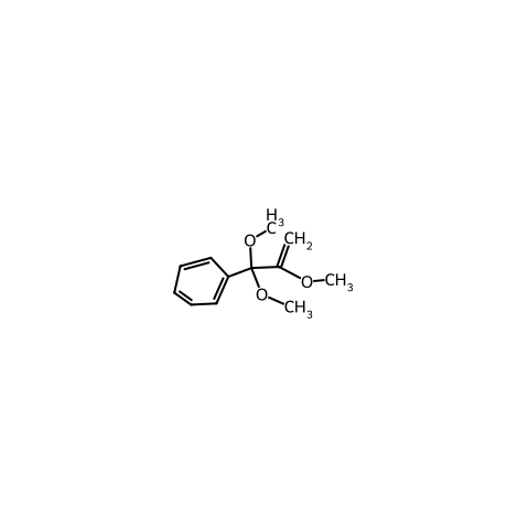 C=C(OC)C(OC)(OC)c1ccccc1